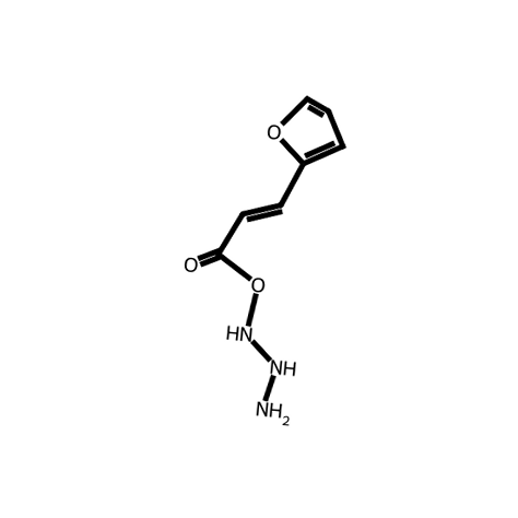 NNNOC(=O)/C=C/c1ccco1